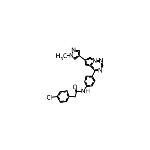 Cn1cc(-c2cc3c(-c4ccc(NC(=O)Cc5ccc(Cl)cc5)cc4)ncnn3c2)cn1